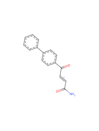 NC(=O)/C=C/C(=O)c1ccc(-c2ccccc2)cc1